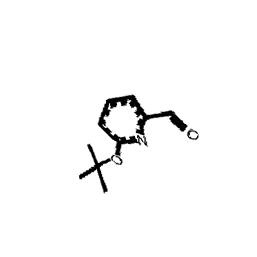 CC(C)(C)Oc1cccc(C=O)n1